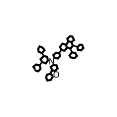 c1ccc(-c2cc(-c3ccccc3)cc(N(c3ccc(-c4ccc5c(c4)c(-c4ccccc4)c(-c4ccccc4)c4ccccc45)cc3)c3ccc4oc5ccccc5c4c3)c2)cc1